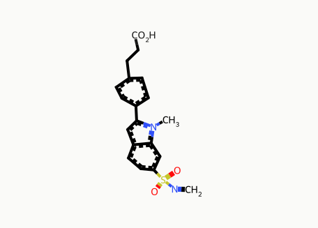 C=NS(=O)(=O)c1ccc2cc(-c3ccc(CCC(=O)O)cc3)n(C)c2c1